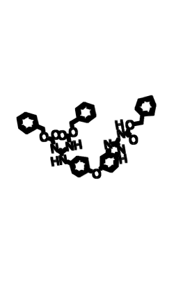 O=C(/N=C(\NC(=O)OCc1ccccc1)Nc1ccc(Oc2ccc3[nH]c(NC(=O)OCc4ccccc4)nc3c2)cc1)OCc1ccccc1